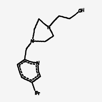 CC(C)c1ccc(CN2CCN(CCO)CC2)nc1